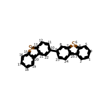 c1ccc2c(c1)sc1cc(-c3ccc4sc5ccccc5c4c3)ccc12